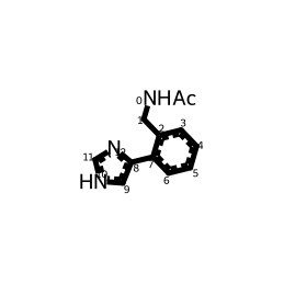 CC(=O)NCc1ccccc1-c1c[nH]cn1